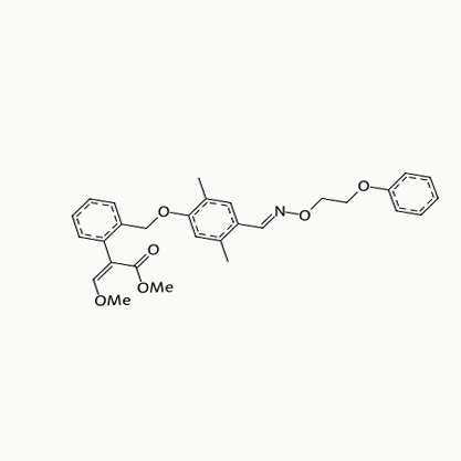 COC=C(C(=O)OC)c1ccccc1COc1cc(C)c(C=NOCCOc2ccccc2)cc1C